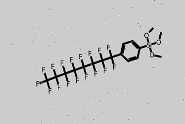 CO[Si](OC)(OC)c1ccc(C(F)(F)C(F)(F)C(F)(F)C(F)(F)C(F)(F)C(F)(F)C(F)(F)C(F)(F)F)cc1